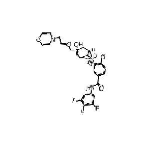 C[C@H]1C[C@H]2C[C@](O)(COCCN3CCOCC3)CC1C2S(=O)(=O)c1cc(C(=O)Nc2cc(F)c(F)c(F)c2)ccc1Cl